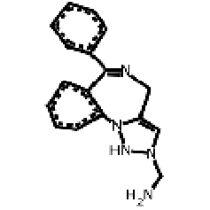 NCN1C=C2CN=C(c3ccccc3)c3ccccc3N2N1